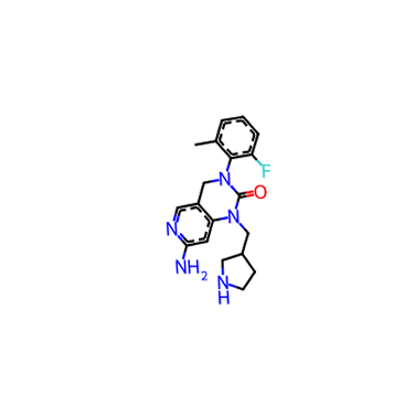 Cc1cccc(F)c1N1Cc2cnc(N)cc2N(CC2CCNC2)C1=O